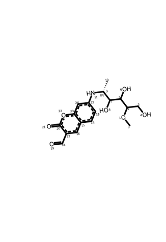 COC(CO)C(O)C(O)[C@@H](C)Nc1ccc2cc(C=O)c(=O)oc2c1